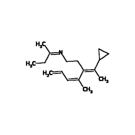 C=C/C=C(C)\C(CCN=C(C)CC)=C(/C)C1CC1